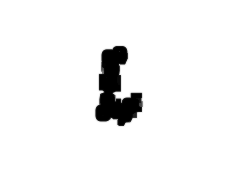 Cc1ccc(OC(F)F)c(Cn2c3cc(-c4cnc(N5CCN(C(=O)C6CCO6)[C@H](C)C5)nc4)ccc3c(=O)n2C)c1